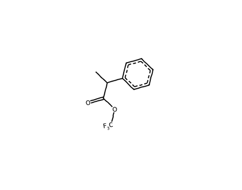 CC(C(=O)OC(F)(F)F)c1ccccc1